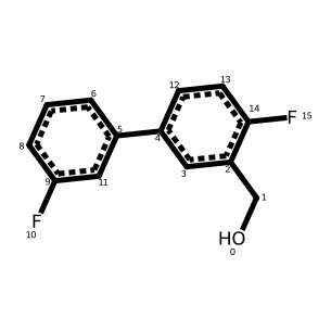 OCc1cc(-c2cccc(F)c2)ccc1F